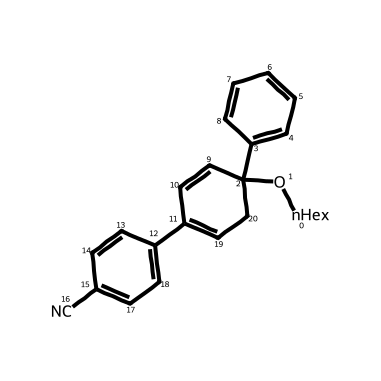 CCCCCCOC1(c2ccccc2)C=CC(c2ccc(C#N)cc2)=CC1